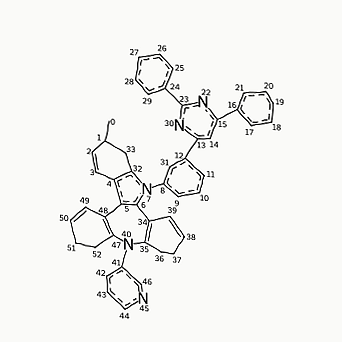 CC1C=Cc2c3c(n(-c4cccc(-c5cc(-c6ccccc6)nc(-c6ccccc6)n5)c4)c2C1)C1=C(CCC=C1)N(c1cccnc1)C1=C3C=CCC1